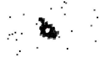 C=CC[C@H]1NC[C@H](C)C[C@@](C)(OC)[C@H](O[C@@H]2OC(C)CC(N(C)C)C2O)[C@@H](C)C(=O)[C@@H](C)C(=O)O[C@H](CC)[C@@]2(C)OC(=O)N(CCCCN=[N+]=[N-])[C@H]12